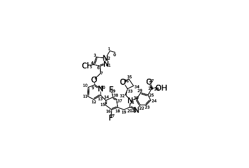 CCn1cc(Cl)c(COc2cccc(-c3cc(F)c(Cc4nc5ccc(C(=O)O)cc5n4C[C@@H]4CCO4)cc3F)n2)n1